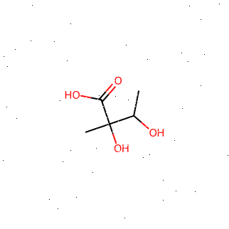 CC(O)C(C)(O)C(=O)O